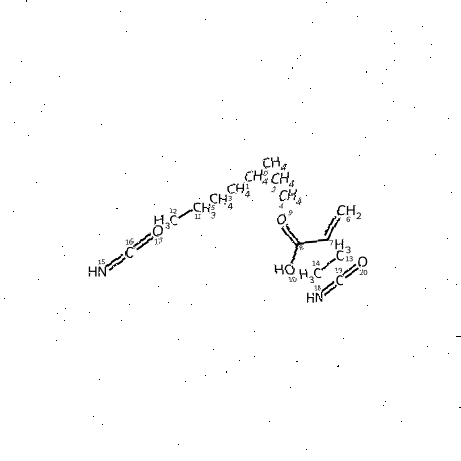 C.C.C.C.C.C.C=CC(=O)O.CC.CC.N=C=O.N=C=O